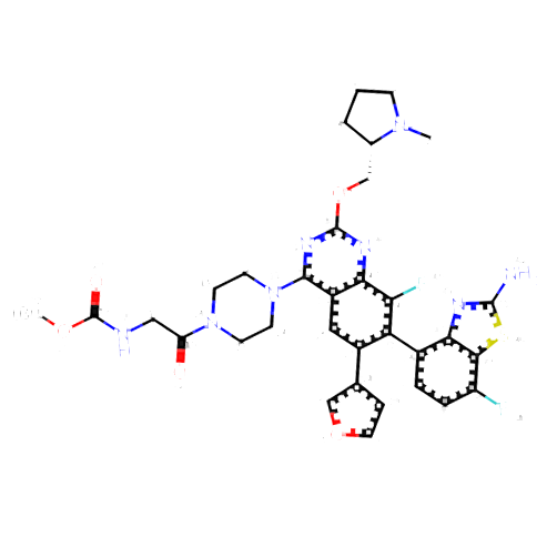 CN1CCC[C@H]1COc1nc(N2CCN(C(=O)CNC(=O)OC(C)(C)C)CC2)c2cc(-c3ccoc3)c(-c3ccc(F)c4sc(N)nc34)c(F)c2n1